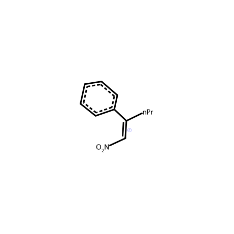 CCC/C(=C/[N+](=O)[O-])c1ccccc1